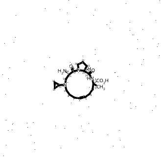 C[C@@]1(C(=O)O)CC/C=C\CCCN(C2CC2)C[C@H](N)C(=O)N2CCC[C@H]2C(=O)N1